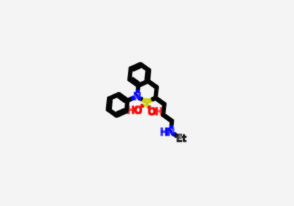 CCNCCCC1Cc2ccccc2N(c2ccccc2)S1(O)O